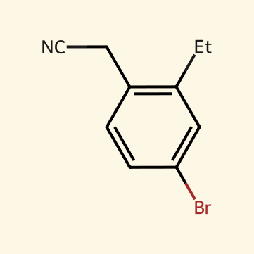 CCc1cc(Br)ccc1CC#N